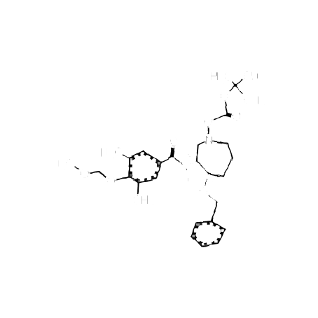 COCOc1c(C)cc(C(=O)N[C@@H]2CN(OC(=O)OC(C)(C)C)CCC[C@H]2OCc2ccccc2)cc1C